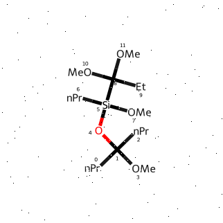 CCCC(CCC)(OC)O[Si](CCC)(OC)C(CC)(OC)OC